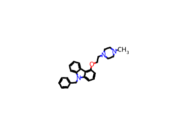 CN1CCN(CCOc2cccc3c2c2ccccc2n3Cc2ccccc2)CC1